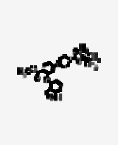 COC(=O)c1ccc(N2CCN(C(=O)OC(C)(C)C)CC2)cc1Oc1cccc2[nH]ccc12